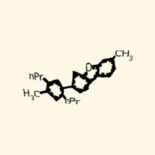 CCCc1cc(-c2ccc3c(c2)oc2cc(C)ccc23)c(CCC)cc1C